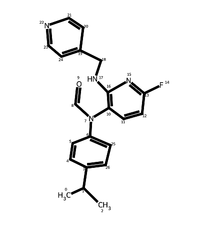 CC(C)c1ccc(N(C=O)c2ccc(F)nc2NCc2ccncc2)cc1